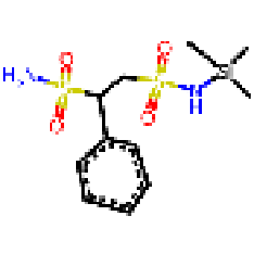 C[Si](C)(C)NS(=O)(=O)CC(c1ccccc1)S(N)(=O)=O